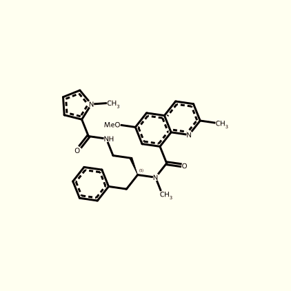 COc1cc(C(=O)N(C)[C@H](CCNC(=O)c2cccn2C)Cc2ccccc2)c2nc(C)ccc2c1